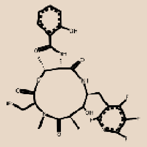 CC(C)CC1C(=O)O[C@H](C)[C@H](NC(=O)c2ccccc2O)C(=O)N[C@@H](Cc2c(F)nc(F)c(F)c2F)[C@@H](O)[C@@H](C)C(=O)N1C